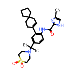 CCC(CC)(c1ccc(NC(=O)c2nc(C#N)c[nH]2)c(C2=CCC3(CCCC3)CC2)c1)N1CCS(=O)(=O)CC1